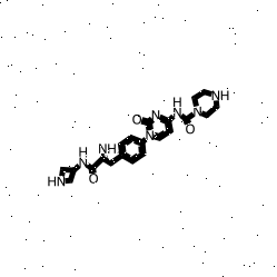 N[C@@H](Cc1ccc(-n2ccc(NC(=O)N3CCNCC3)nc2=O)cc1)C(=O)NC1CNC1